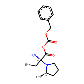 CC(C)C[C@](N)(C(=O)OC(=O)OCc1ccccc1)N1CCC[C@H]1N=O